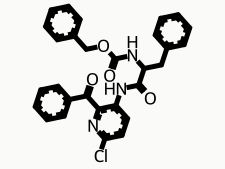 O=C(NC(Cc1ccccc1)C(=O)Nc1ccc(Cl)nc1C(=O)c1ccccc1)OCc1ccccc1